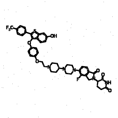 O=C1CCC(N2Cc3c(ccc(N4CCN(C5CCN(CCOc6ccc(Oc7c(-c8ccc(C(F)(F)F)cc8)sc8cc(O)ccc78)cc6)CC5)CC4)c3F)C2=O)C(=O)N1